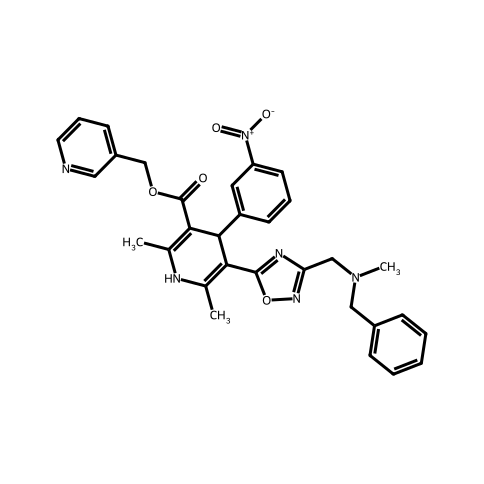 CC1=C(C(=O)OCc2cccnc2)C(c2cccc([N+](=O)[O-])c2)C(c2nc(CN(C)Cc3ccccc3)no2)=C(C)N1